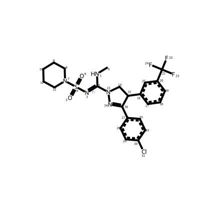 CN/C(=N\S(=O)(=O)N1CCCCC1)N1CC(c2cccc(C(F)(F)F)c2)C(c2ccc(Cl)cc2)=N1